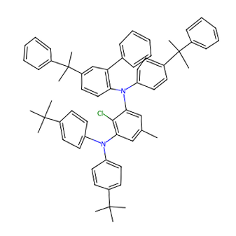 Cc1cc(N(c2ccc(C(C)(C)C)cc2)c2ccc(C(C)(C)C)cc2)c(Cl)c(N(c2ccc(C(C)(C)c3ccccc3)cc2)c2ccc(C(C)(C)c3ccccc3)cc2-c2ccccc2)c1